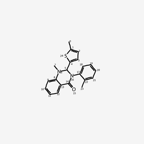 Cc1ccc(C2N(C)c3ccccc3C(=O)N2c2ccccc2C)s1